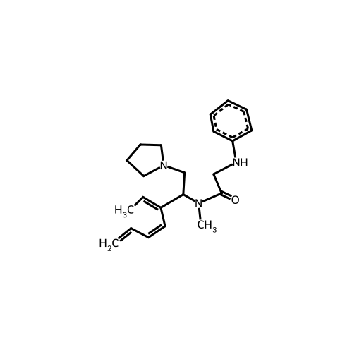 C=C/C=C\C(=C/C)C(CN1CCCC1)N(C)C(=O)CNc1ccccc1